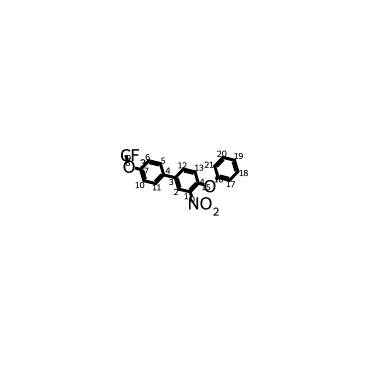 O=[N+]([O-])c1cc(-c2ccc(OC(F)(F)F)cc2)ccc1Oc1ccccc1